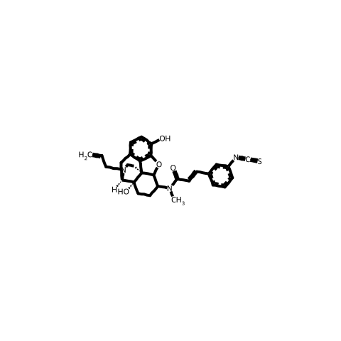 C=CCN1CC[C@]23c4c5ccc(O)c4OC2C(N(C)C(=O)/C=C/c2cccc(N=C=S)c2)CC[C@@]3(O)[C@H]1C5